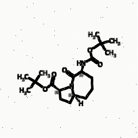 CC(C)(C)OC(=O)N[C@H]1CCC[C@H]2CC[C@@H](C(=O)OC(C)(C)C)N2C1=O